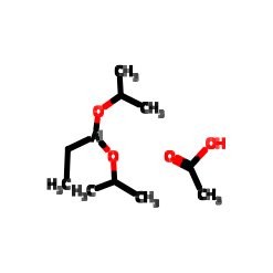 CC(=O)O.C[CH2][Al]([O]C(C)C)[O]C(C)C